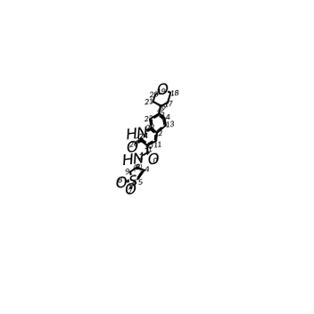 O=C(N[C@@H]1C=CS(=O)(=O)C1)c1cc2ccc(C3CCOCC3)cc2[nH]c1=O